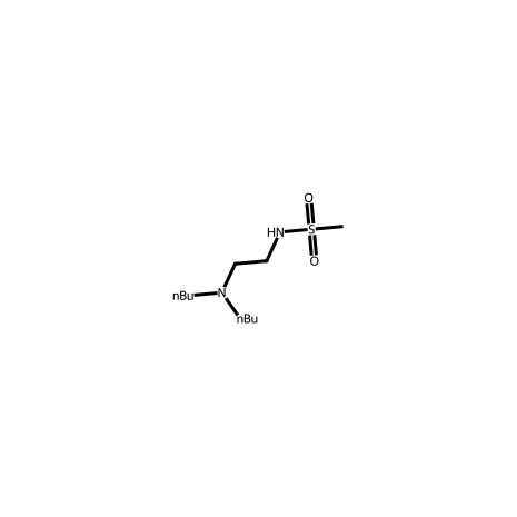 CCCCN(CCCC)CCNS(C)(=O)=O